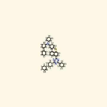 c1ccc(-c2ccc(-c3nc(-c4ccccc4)nc(-c4ccc5c6c(cccc46)-c4cc(N(c6ccccc6)c6cccc(-c7ccccc7)c6)ccc4S5)n3)cc2)cc1